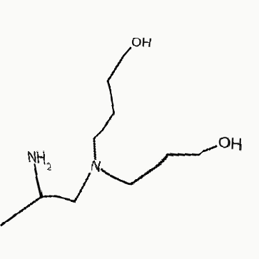 CC(N)CN(CCCO)CCCO